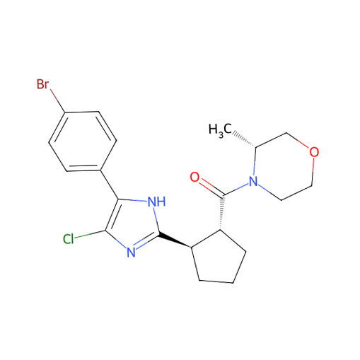 C[C@@H]1COCCN1C(=O)[C@@H]1CCC[C@H]1c1nc(Cl)c(-c2ccc(Br)cc2)[nH]1